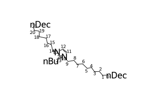 CCCCCCCCCCCCCCCCCCCN1C=CN(CCCCCCCCCCCCCCCCC)C1CCCC